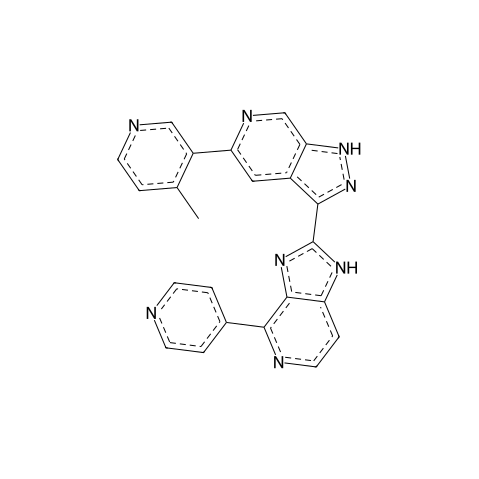 Cc1ccncc1-c1cc2c(-c3nc4c(-c5ccncc5)nccc4[nH]3)n[nH]c2cn1